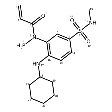 C=CC(=O)N(P)c1cc(S(=O)(=O)NC)ccc1NC1CCCCC1